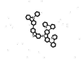 c1ccc(-n2c3ccccc3c3cc(-c4ccc5sc6ccc(-n7c8ccc(-c9ccccc9-c9ccccn9)cc8c8cc(-c9ccccc9-c9ccccn9)ccc87)cc6c5c4)ccc32)cc1